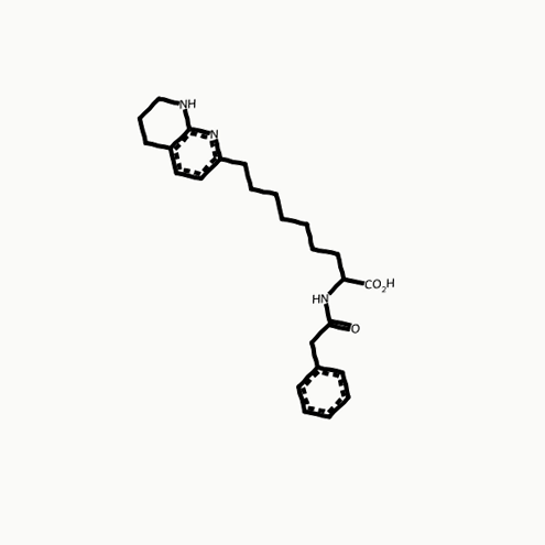 O=C(Cc1ccccc1)NC(CCCCCCCc1ccc2c(n1)NCCC2)C(=O)O